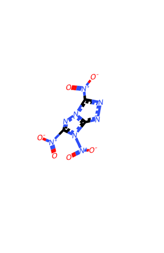 O=[N+]([O-])c1nn2c([N+](=O)[O-])nnc2n1[N+](=O)[O-]